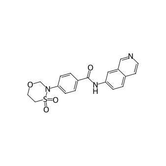 O=C(Nc1ccc2ccncc2c1)c1ccc(N2COCCS2(=O)=O)cc1